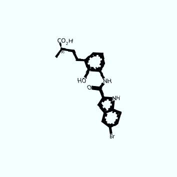 C[C@H](CCc1cccc(NC(=O)c2cc3cc(Br)ccc3[nH]2)c1O)C(=O)O